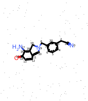 N#CCc1cccc(CN2C=C3C=CC(=O)C(N)=C3C2)c1